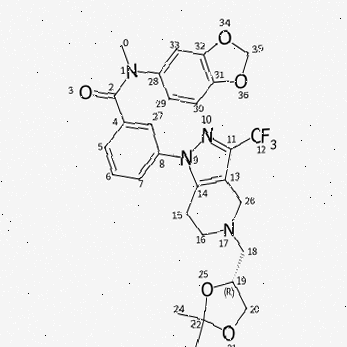 CN(C(=O)c1cccc(-n2nc(C(F)(F)F)c3c2CCN(C[C@@H]2COC(C)(C)O2)C3)c1)c1ccc2c(c1)OCO2